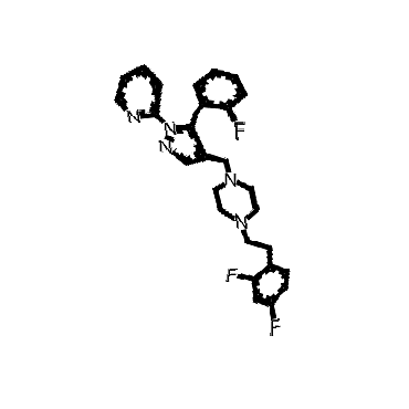 Fc1ccc(CCN2CCN(Cc3cnn(-c4ccccn4)c3-c3ccccc3F)CC2)c(F)c1